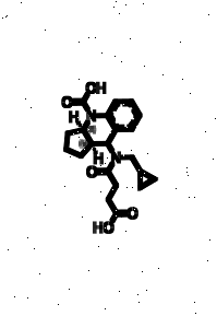 O=C(O)CCC(=O)N(CC1CC1)C1c2ccccc2N(C(=O)O)[C@@H]2CCC[C@H]12